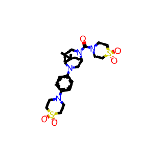 CC1(C)CC2CN(c3ccc(N4CCS(=O)(=O)CC4)cc3)C1CCN2C(=O)N1CCS(=O)(=O)CC1